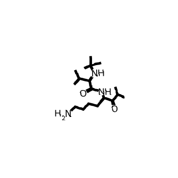 CC(C)C(=O)C(CCCCN)NC(=O)C(NC(C)(C)C)C(C)C